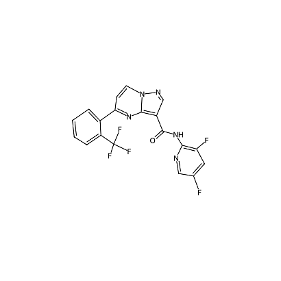 O=C(Nc1ncc(F)cc1F)c1cnn2ccc(-c3ccccc3C(F)(F)F)nc12